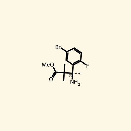 COC(=O)C(C)(C)[C@](C)(N)c1cc(Br)ccc1F